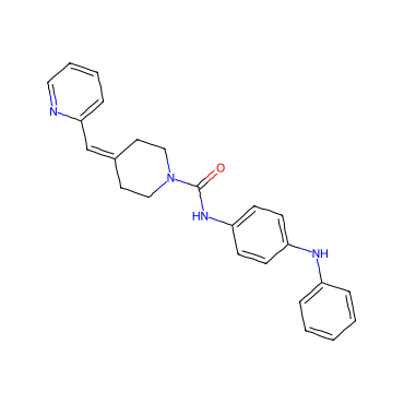 O=C(Nc1ccc(Nc2ccccc2)cc1)N1CCC(=Cc2ccccn2)CC1